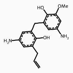 C=CCc1cc(N)cc(Cc2cc(N)cc(OC)c2O)c1O